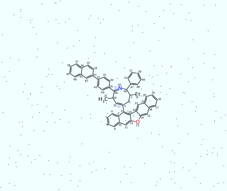 CCC1C/C(c2c3ccccc3cc3oc4cc5ccccc5cc4c23)=C\C(C)/C(c2ccc(-c3ccc4ccccc4c3)cc2)=N\C1c1ccccc1